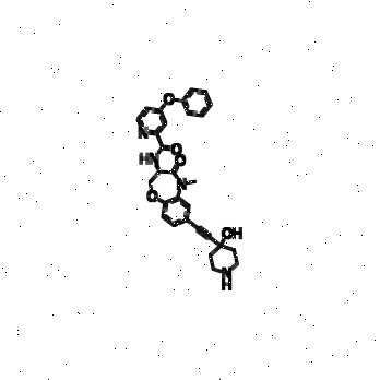 CN1C(=O)[C@H](NC(=O)c2cc(Oc3ccccc3)ccn2)COc2ccc(C#CC3(O)CCNCC3)cc21